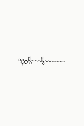 CCCCCCCCCCCCCC(=O)NCCCCCCC(=O)Nc1ccc2c(C)cc(=O)oc2c1